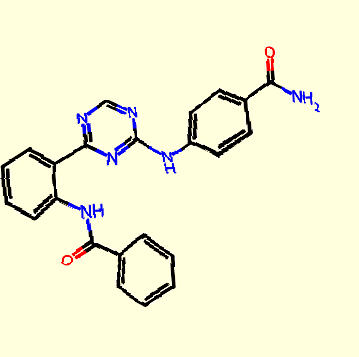 NC(=O)c1ccc(Nc2ncnc(-c3ccccc3NC(=O)c3ccccc3)n2)cc1